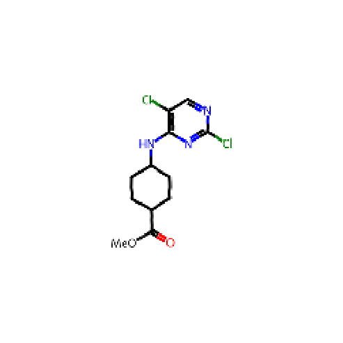 COC(=O)C1CCC(Nc2nc(Cl)ncc2Cl)CC1